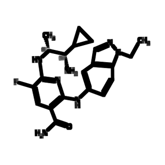 CCn1ncc2cc(Nc3nc(N[C@H](C)[C@@H](N)C4CC4)c(F)cc3C(N)=O)ccc21